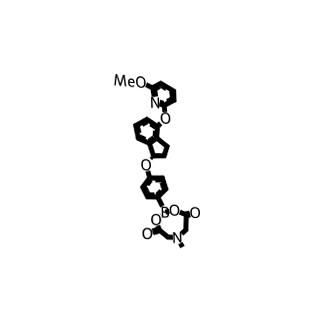 COc1cccc(Oc2cccc3c2CC[C@H]3Oc2ccc(B3OC(=O)CN(C)CC(=O)O3)cc2)n1